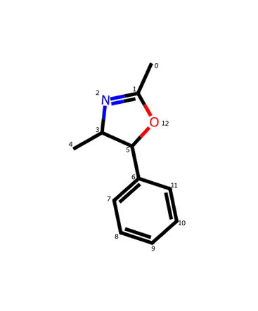 CC1=NC(C)C(c2ccccc2)O1